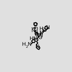 C[C@@H]1N=C(N2CCN(C(=O)C(CCCCN3CCCCC3)NC3CCC(CN)CC3)[C@H](C(=O)NCc3cc4cnccc4s3)C2)O[C@H]1c1ccccc1